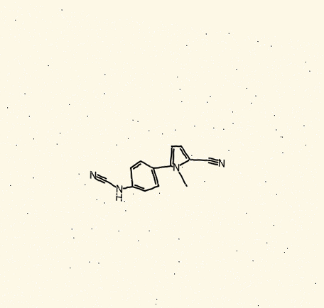 Cn1c(C#N)ccc1-c1ccc(NC#N)cc1